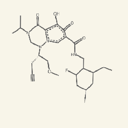 C#CC[C@@H](COC)N1CN(C(C)C)C(=O)c2c(O)c(=O)c(C(=O)NCC3C(F)C[C@H](F)CC3CC)cn21